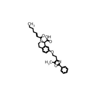 CCCCC=CC(=O)N1CCc2ccc(OCCc3nc(-c4ccccc4)oc3C)cc2C1C(=O)O